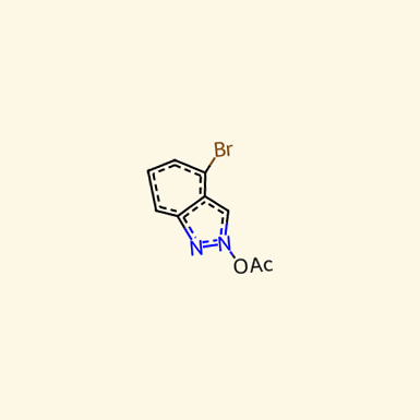 CC(=O)On1cc2c(Br)cccc2n1